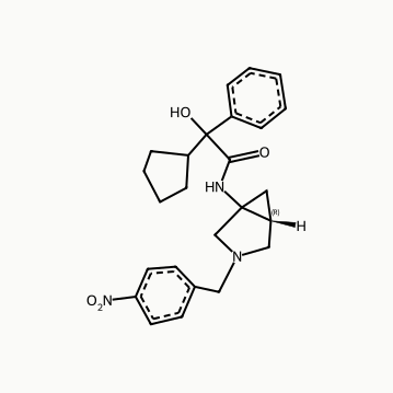 O=C(NC12C[C@@H]1CN(Cc1ccc([N+](=O)[O-])cc1)C2)C(O)(c1ccccc1)C1CCCC1